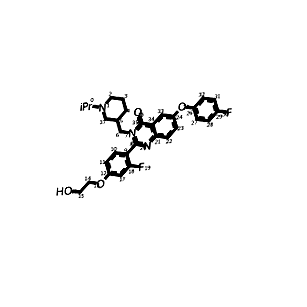 CC(C)N1CCCC(Cn2c(-c3ccc(OCCO)cc3F)nc3ccc(Oc4ccc(F)cc4)cc3c2=O)C1